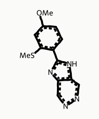 COc1ccc(-c2nc3cnncc3[nH]2)c(SC)c1